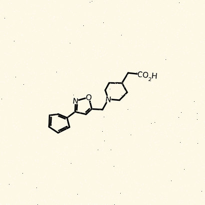 O=C(O)CC1CCN(Cc2cc(-c3ccccc3)no2)CC1